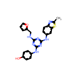 Cc1nc2ccc(Nc3nc(NCc4ccco4)nc(Nc4ccc(O)cc4)n3)cc2s1